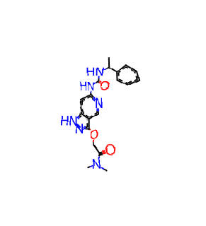 CC(NC(=O)Nc1cc2[nH]nc(OCC(=O)N(C)C)c2cn1)c1ccccc1